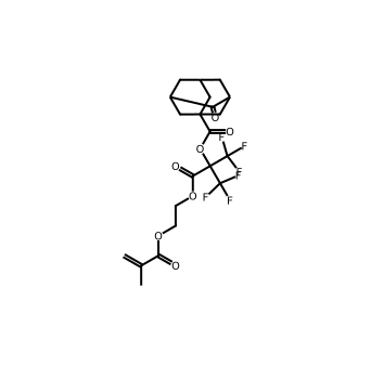 C=C(C)C(=O)OCCOC(=O)C(OC(=O)C12CC3CC(C1)C(=O)C(C3)C2)(C(F)(F)F)C(F)(F)F